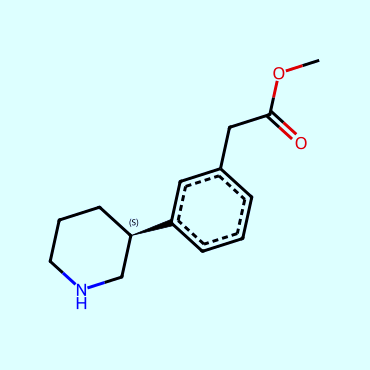 COC(=O)Cc1cccc([C@@H]2CCCNC2)c1